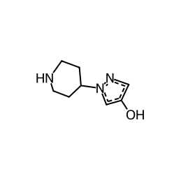 Oc1cnn(C2CCNCC2)c1